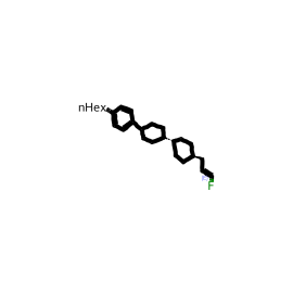 CCCCCCc1ccc(C2CCC([C@H]3CC[C@H](C/C=C/F)CC3)CC2)cc1